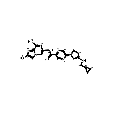 Cc1cn2cc(NC(=O)c3cnc(N4CCC(NCC5CC5)C4)cn3)nc(C)c2n1